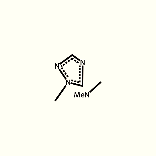 CNC.Cn1cncn1